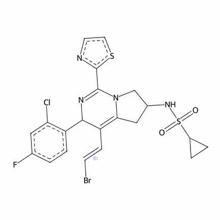 O=S(=O)(NC1CC2=C(/C=C/Br)C(c3ccc(F)cc3Cl)N=C(c3nccs3)N2C1)C1CC1